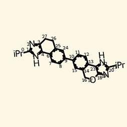 CC(C)c1nc2c([nH]1)-c1ccc(-c3ccc4c(c3)COc3nc(C(C)C)[nH]c3-4)cc1CC2